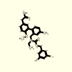 CCN(Cc1cc(C)ccc1-c1cc(CC(=O)O)ccc1OC)C(=O)OCc1cc(F)cc(F)c1